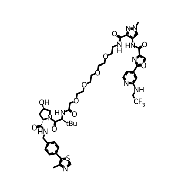 Cc1ncsc1-c1ccc(CNC(=O)[C@@H]2C[C@@H](O)CN2C(=O)[C@@H](NC(=O)COCCOCCOCCOCCNC(=O)c2nn(C)cc2NC(=O)c2coc(-c3ccnc(NCC(F)(F)F)c3)n2)C(C)(C)C)cc1